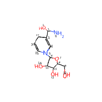 NC(O)C1=CN(C2OC(CO)C(O)C2O)C=CC1